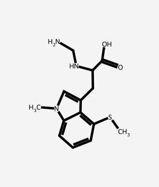 CSc1cccc2c1c(CC(NCN)C(=O)O)cn2C